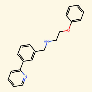 c1ccc(OCCNCc2cccc(-c3ccccn3)c2)cc1